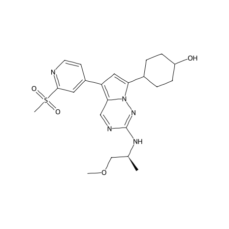 COC[C@H](C)Nc1ncc2c(-c3ccnc(S(C)(=O)=O)c3)cc(C3CCC(O)CC3)n2n1